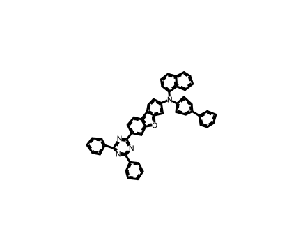 c1ccc(-c2ccc(N(c3ccc4c(c3)oc3cc(-c5nc(-c6ccccc6)nc(-c6ccccc6)n5)ccc34)c3cccc4ccccc34)cc2)cc1